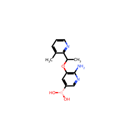 Cc1cccnc1C(C)Oc1cc(B(O)O)cnc1N